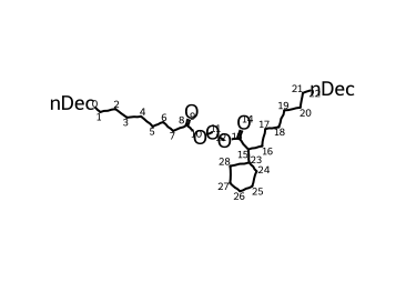 CCCCCCCCCCCCCCCCCC(=O)OOOC(=O)C(CCCCCCCCCCCCCCCC)C1CCCCC1